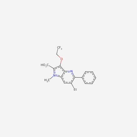 CCc1cc2c(nc1-c1ccccc1)c(OCC(F)(F)F)c(C(=O)O)n2C